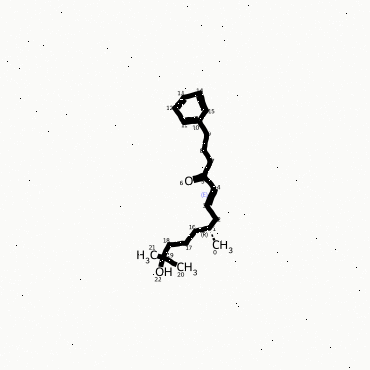 C[C@@H](C/C=C/C(=O)CCCc1ccccc1)CCCC(C)(C)O